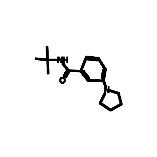 CC(C)(C)NC(=O)c1cccc(N2CCCC2)c1